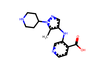 Cc1c(Nc2cnccc2C(=O)O)cnn1C1CCNCC1